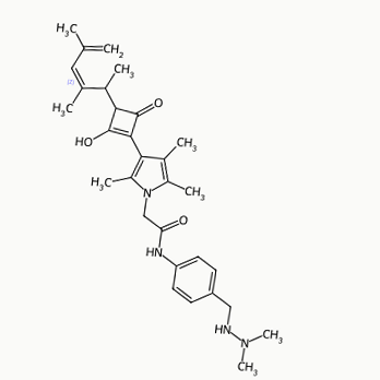 C=C(C)/C=C(/C)C(C)C1C(=O)C(c2c(C)c(C)n(CC(=O)Nc3ccc(CNN(C)C)cc3)c2C)=C1O